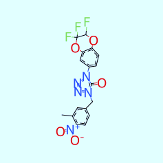 Cc1cc(Cn2nnn(-c3ccc4c(c3)OC(F)(F)C(F)O4)c2=O)ccc1[N+](=O)[O-]